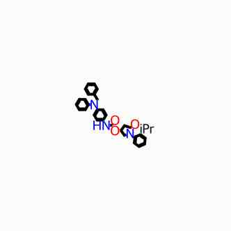 CC(C)c1ccccc1N1CC(OC(=O)Nc2ccc(N(Cc3ccccc3)c3ccccc3)cc2)CC1=O